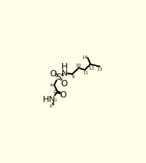 CNC(=O)CS(=O)(=O)NCCCC(C)C